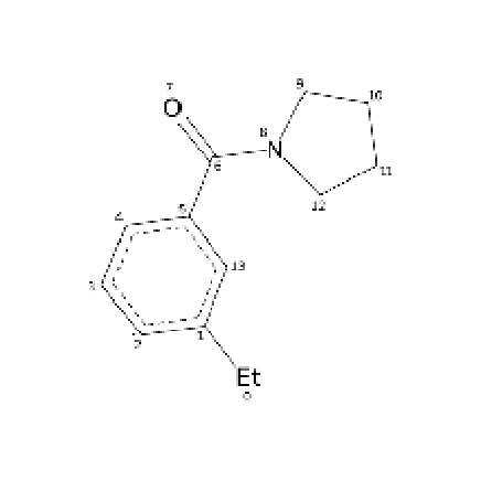 CCc1[c]ccc(C(=O)N2CCCC2)c1